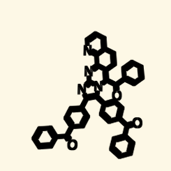 O=C(c1ccccc1)c1ccc(-c2nc3nc4c(ccc5cccnc54)c(C(=O)c4ccccc4)n3c2-c2ccc(C(=O)c3ccccc3)cc2)cc1